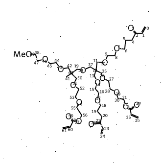 C=CC(=O)CCCOCCOCC(COCCOCCCC(=O)C=C)(COCCOCCOC(=O)C=C)COCC(C)(COCCOCCOC)COCCOCCOC(=O)C=C